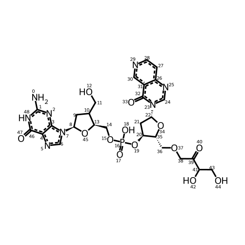 Nc1nc2c(ncn2[C@H]2CC(CO)[C@@H](COP(=O)(O)O[C@H]3C[C@H](n4cnc5ccncc5c4=O)O[C@@H]3COCC(=O)C(O)CO)O2)c(=O)[nH]1